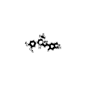 COc1ccc([C@@H]2C[C@H](C(F)(F)F)n3nc(-c4cc5cn[nH]c5cc4C)cc3N2)cc1OC